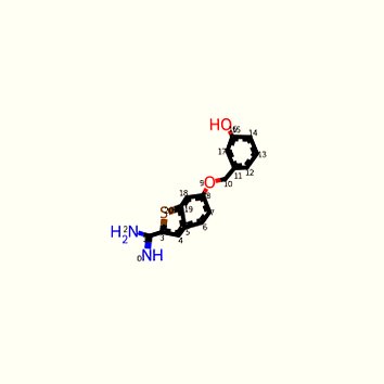 N=C(N)c1cc2ccc(OCc3cccc(O)c3)cc2s1